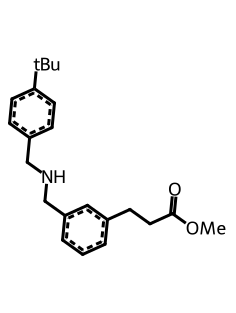 COC(=O)CCc1cccc(CNCc2ccc(C(C)(C)C)cc2)c1